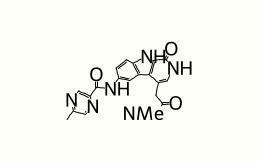 CNC(=O)Cc1c[nH]c(=O)c2[nH]c3ccc(NC(=O)c4cnc(C)cn4)cc3c12